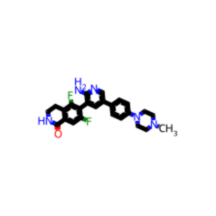 CN1CCN(c2ccc(-c3cnc(N)c(-c4c(F)cc5c(c4F)CCNC5=O)c3)cc2)CC1